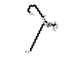 CC/C=C\C/C=C\C/C=C\CCCCCCCC(=O)OC[C@H](COP(=O)(O)OC[C@H](N)C(=O)O)OC(=O)CCCCCCCCCCCCCCCCCCC